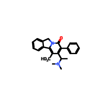 CC(c1c(C(=O)O)c2n(c(=O)c1-c1ccccc1)Cc1ccccc1-2)N(C)C